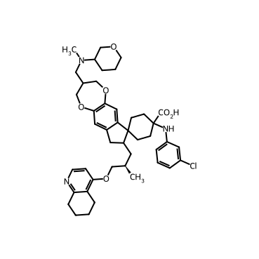 C[C@@H](COc1ccnc2c1CCCC2)CC1Cc2cc3c(cc2C12CCC(Nc1cccc(Cl)c1)(C(=O)O)CC2)OCC(CN(C)C1CCCOC1)CO3